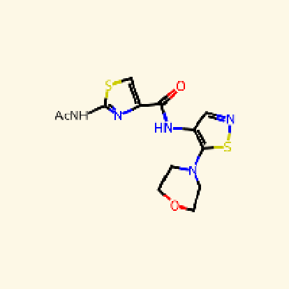 CC(=O)Nc1nc(C(=O)Nc2cnsc2N2CCOCC2)cs1